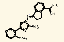 COc1ccccc1-c1cn(/N=C2\CCc3c(C(=N)N)cccc32)c(N)n1